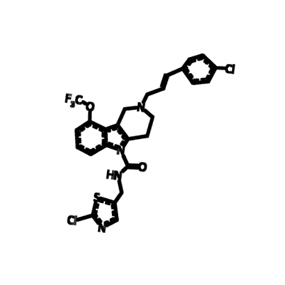 O=C(NCc1cnc(Cl)s1)n1c2c(c3c(OC(F)(F)F)cccc31)CN(CC=Cc1ccc(Cl)cc1)CC2